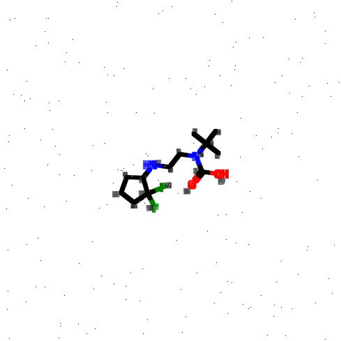 CC(C)(C)N(CCNC1CCCC1(F)F)C(=O)O